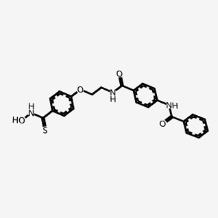 O=C(NCCOc1ccc(C(=S)NO)cc1)c1ccc(NC(=O)c2ccccc2)cc1